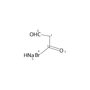 O=CCC(=O)Br.[NaH]